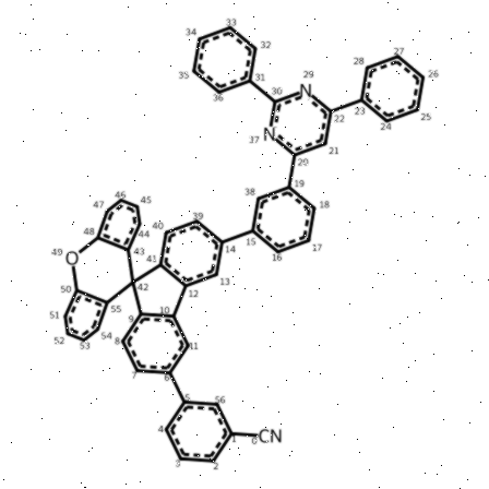 N#Cc1cccc(-c2ccc3c(c2)-c2cc(-c4cccc(-c5cc(-c6ccccc6)nc(-c6ccccc6)n5)c4)ccc2C32c3ccccc3Oc3ccccc32)c1